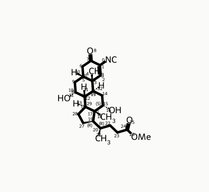 [C-]#[N+]C1=C[C@@]2(C)[C@@H](CC1=O)C[C@@H](O)[C@@H]1[C@@H]2C[C@H](O)[C@]2(C)[C@@H]([C@H](C)CCC(=O)OC)CC[C@@H]12